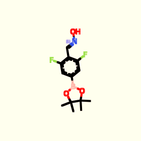 CC1(C)OB(c2cc(F)c(/C=N/O)c(F)c2)OC1(C)C